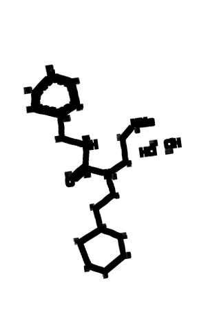 CNCCN(CCC1CCCCC1)C(=O)NCc1ccncc1.Cl.Cl